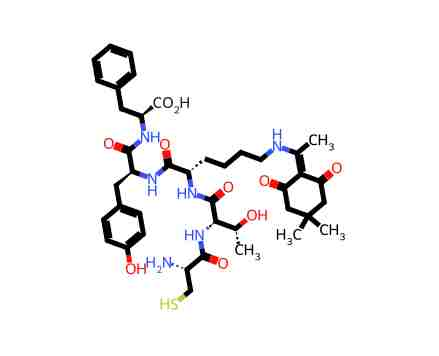 CC(NCCCC[C@H](NC(=O)[C@@H](NC(=O)[C@@H](N)CS)[C@@H](C)O)C(=O)N[C@@H](Cc1ccc(O)cc1)C(=O)N[C@@H](Cc1ccccc1)C(=O)O)=C1C(=O)CC(C)(C)CC1=O